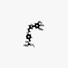 CCCCC(C)NCc1ccc(OCCc2coc(-c3cc(C(C)(C)C)c(O)c(C(C)(C)C)c3)n2)cc1